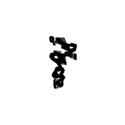 O=[N+]([O-])c1cccc(Nc2nccc(-c3cccc(CO)c3)n2)c1